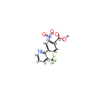 COC(=O)c1ccc(-c2ncccc2C(F)(F)F)cc1[N+](=O)[O-]